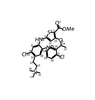 COC(=O)c1sc(Nc2cc(Cl)c(CC[Si](C)(C)C)cc2[N+](=O)[O-])cc1OC(C)c1ccccc1Cl